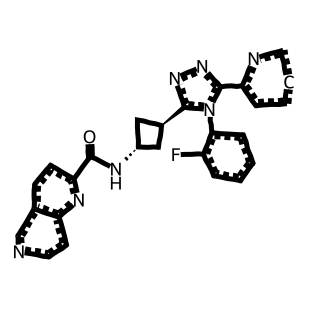 O=C(N[C@H]1C[C@H](c2nnc(-c3ccccn3)n2-c2ccccc2F)C1)c1ccc2cnccc2n1